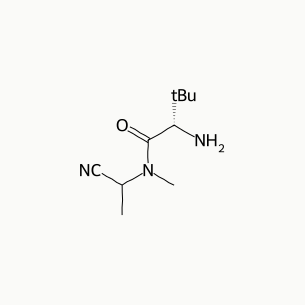 CC(C#N)N(C)C(=O)[C@@H](N)C(C)(C)C